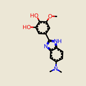 COc1cc(-c2nc3cc(N(C)C)ccc3[nH]2)cc(O)c1O